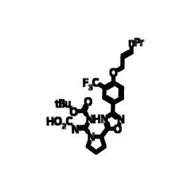 CCCC=CCOc1ccc(-c2noc(C3CCCN3C(=NC(=O)O)NC(=O)OC(C)(C)C)n2)cc1C(F)(F)F